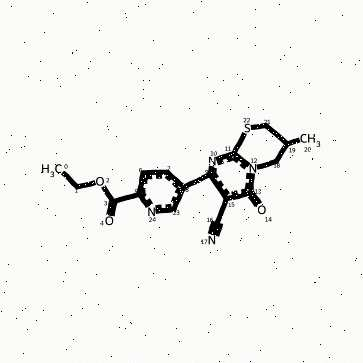 CCOC(=O)c1ccc(-c2nc3n(c(=O)c2C#N)CC(C)CS3)cn1